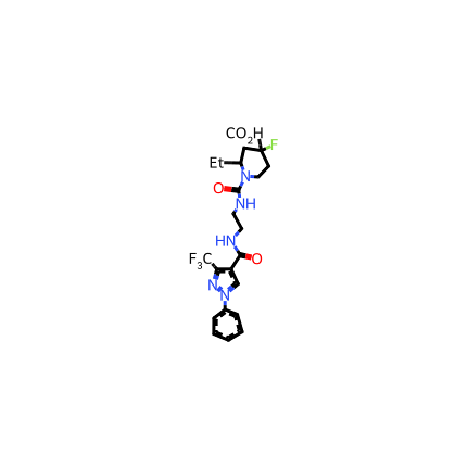 CCC1CC(F)(C(=O)O)CCN1C(=O)NCCNC(=O)c1cn(-c2ccccc2)nc1C(F)(F)F